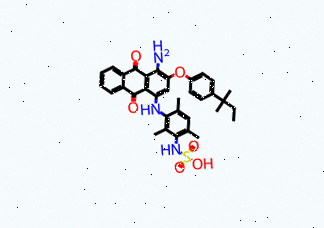 CCC(C)(C)c1ccc(Oc2cc(Nc3c(C)cc(C)c(NS(=O)(=O)O)c3C)c3c(c2N)C(=O)c2ccccc2C3=O)cc1